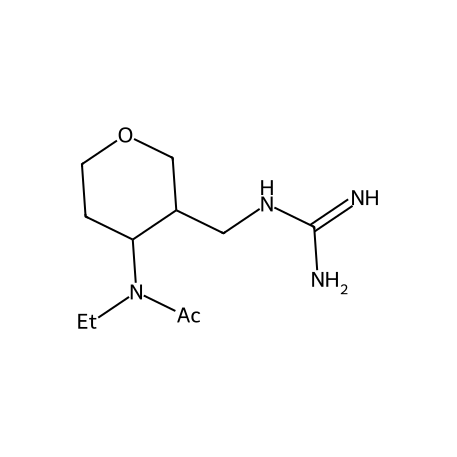 CCN(C(C)=O)C1CCOCC1CNC(=N)N